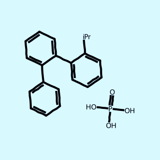 CC(C)c1ccccc1-c1ccccc1-c1ccccc1.O=P(O)(O)O